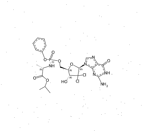 CC(C)OC(=O)[C@H](C)N[P@](=O)(OC[C@H]1O[C@@H](n2cnc3c(=O)[nH]c(N)nc32)C(Cl)(Cl)[C@@H]1O)Oc1ccccc1